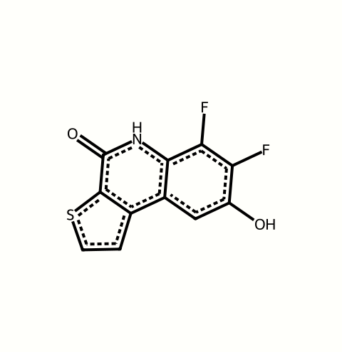 O=c1[nH]c2c(F)c(F)c(O)cc2c2ccsc12